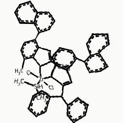 CC1=Cc2c(-c3cccc4ccccc34)ccc(C)c2[CH]1[Zr]([Cl])([Cl])([CH]1C(C(c2ccccc2)c2ccccc2)=Cc2c(-c3cccc4ccccc34)cccc21)[SiH](C)C